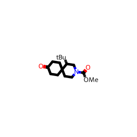 COC(=O)N1CCC2(CCC(=O)CC2)C(C(C)(C)C)C1